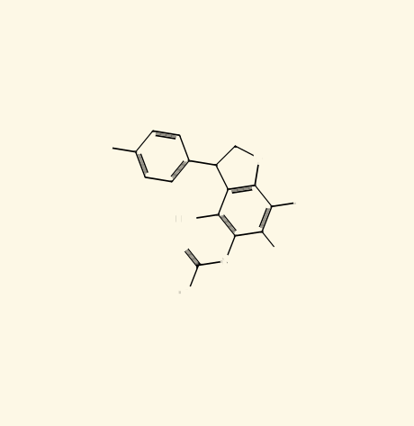 CCCC(=O)Nc1c(C)c(C)c2c(c1C)C(c1ccc(C(C)C)cc1)CO2